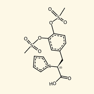 CS(=O)(=O)Oc1ccc(C[C@@H](C(=O)O)n2cccc2)cc1OS(C)(=O)=O